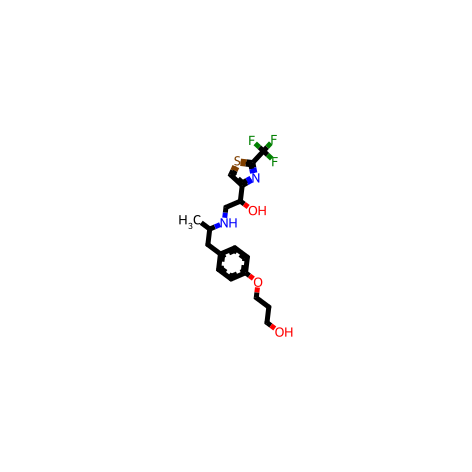 CC(Cc1ccc(OCCCO)cc1)NCC(O)c1csc(C(F)(F)F)n1